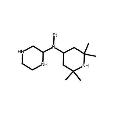 CCN(C1CC(C)(C)NC(C)(C)C1)C1CNCCN1